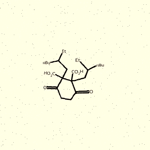 CCCCC(CC)CC1(C(=O)O)C(=O)CCC(=O)C1(CC(CC)CCCC)C(=O)O